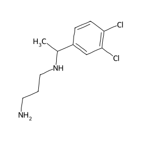 CC(NCCCN)c1ccc(Cl)c(Cl)c1